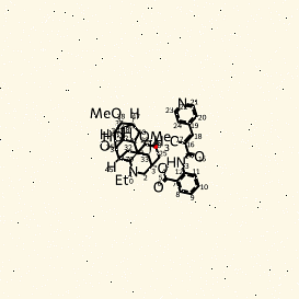 CCN1C[C@]2(OC(=O)c3ccccc3NC(=O)/C(C)=C/c3ccncc3)CC[C@H](OC)[C@]34C1[C@@H](C[C@H]23)[C@@]1(O)C[C@H](OC)[C@H]2C[C@@H]4[C@]1(O)C2